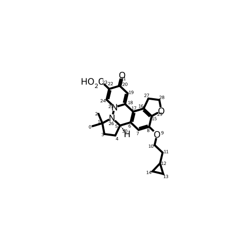 CC1(C)CC[C@@H]2c3cc(OCCC4CC4)c4c(c3-c3cc(=O)c(C(=O)O)cn3N21)CCO4